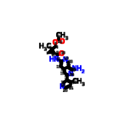 CC(=O)OC[C@]1(C)C[C@@H]1C(=O)Nc1cc2cc(-c3cnccc3C)nc(N)c2cn1